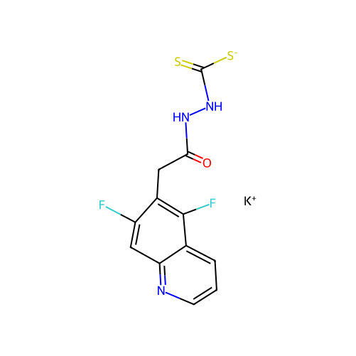 O=C(Cc1c(F)cc2ncccc2c1F)NNC(=S)[S-].[K+]